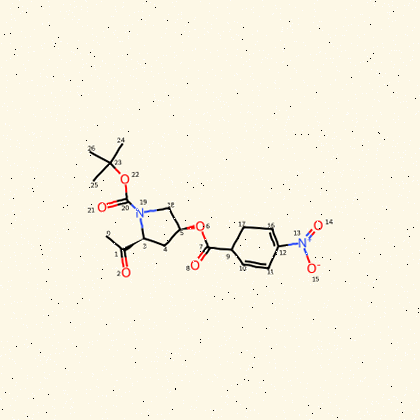 CC(=O)[C@@H]1C[C@H](OC(=O)C2C=CC([N+](=O)[O-])=CC2)CN1C(=O)OC(C)(C)C